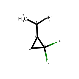 CC(C)C(C)C1CC1(F)F